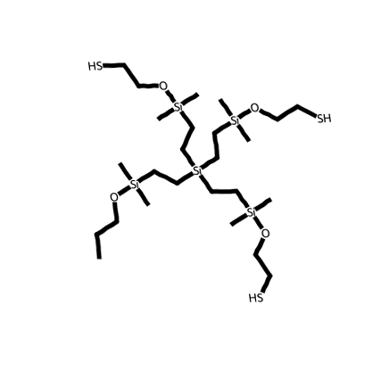 CCCO[Si](C)(C)CC[Si](CC[Si](C)(C)OCCS)(CC[Si](C)(C)OCCS)CC[Si](C)(C)OCCS